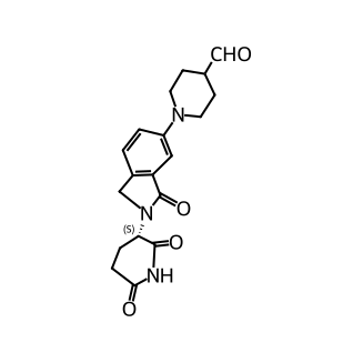 O=CC1CCN(c2ccc3c(c2)C(=O)N([C@H]2CCC(=O)NC2=O)C3)CC1